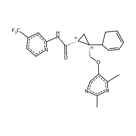 Cc1ncc(OC[C@@]2(C3C=CC=CC3)C[C@H]2C(=O)Nc2cc(C(F)(F)F)ccn2)c(C)n1